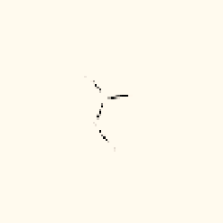 CCCC[N]N(C)CCCC